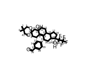 CC1(C)COC2(CCC3=C4C(CC[C@@]3(O)C2)C2CC[C@@](O)(C(F)(F)C(F)(F)F)[C@@]2(C)C[C@@H]4c2ccc(C=O)cc2)OC1